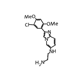 COc1cc(OC)c(-c2cn3cc(NCCN)ccc3n2)cc1Cl